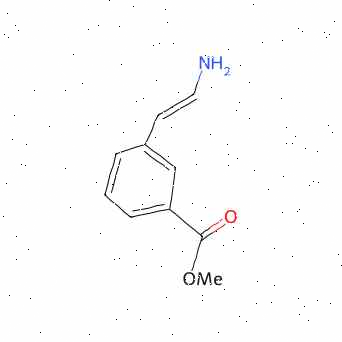 COC(=O)c1cccc(/C=C/N)c1